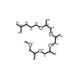 COCC(C)OCC(C)OCC(C)OCC(C)OCCCC(C)C